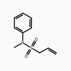 C=CCS(=O)(=O)N(C)c1ccccc1